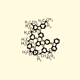 CC(C)(C)c1cc(N2c3cc(-n4c5ccccc5c5ccccc54)ccc3B3c4ccc(-n5c6ccc(C(C)(C)C)cc6c6cc(C(C)(C)C)ccc65)cc4N(c4cc(C(C)(C)C)cc(C(C)(C)C)c4)c4cc(N5c6ccccc6C(C)(C)c6ccccc65)cc2c43)cc(C(C)(C)C)c1